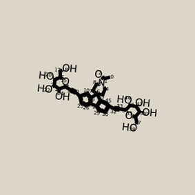 CC(=O)N1CCC2(CC1)c1cc(C#CC3OC(CO)[C@@H](O)C(O)C3O)ccc1-c1ccc(C#CC3OC(CO)[C@@H](O)[C@H](O)[C@@H]3O)cc12